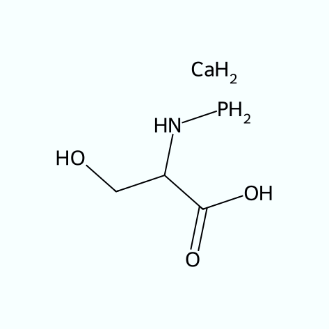 O=C(O)C(CO)NP.[CaH2]